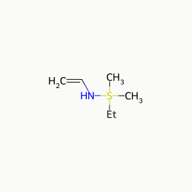 C=CNS(C)(C)CC